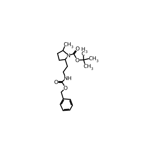 CC1CCC(CCNC(=O)OCc2ccccc2)N1C(=O)OC(C)(C)C